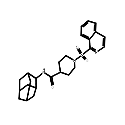 O=C(NC1C2CC3CC(C2)CC1C3)C1CCN(S(=O)(=O)c2nccc3ccccc23)CC1